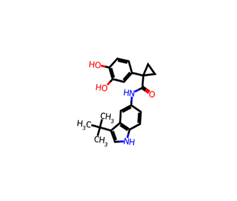 CC(C)(C)c1c[nH]c2ccc(NC(=O)C3(c4ccc(O)c(O)c4)CC3)cc12